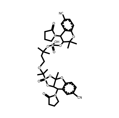 CC(C)(CCOC(C)(C)P1(=O)OC2C(N3CCCC3=O)c3cc(C#N)ccc3OC2(C)O1)OP(=O)(O)OC1C(N2CCCC2=O)c2cc(C#N)ccc2OC1(C)C